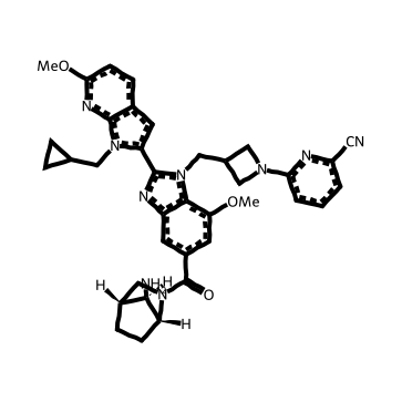 COc1ccc2cc(-c3nc4cc(C(=O)N5C[C@H]6CC[C@@H]5[C@@H]6N)cc(OC)c4n3CC3CN(c4cccc(C#N)n4)C3)n(CC3CC3)c2n1